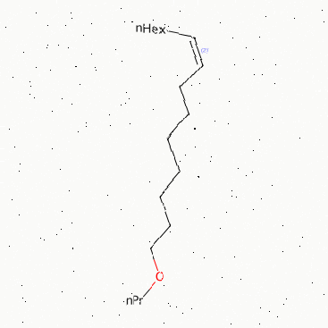 CCCCCC/C=C\CCCCCCCOCCC